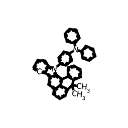 CC1(C)c2ccccc2-c2c3c1cccc3cc1c3ccccc3n(-c3ccc(N(c4ccccc4)c4ccccc4)cc3)c21